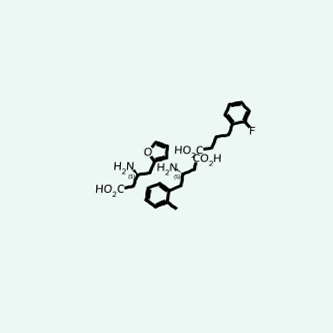 Cc1ccccc1C[C@H](N)CC(=O)O.N[C@H](CC(=O)O)Cc1ccco1.O=C(O)CCCc1ccccc1F